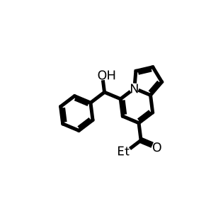 CCC(=O)c1cc(C(O)c2ccccc2)n2cccc2c1